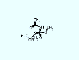 CO.COP(=O)(NC(C)=O)SC